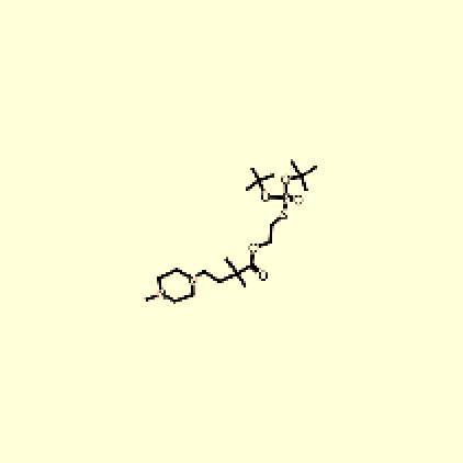 CN1CCN(CCC(C)(C)C(=O)OCCSP(=O)(OC(C)(C)C)OC(C)(C)C)CC1